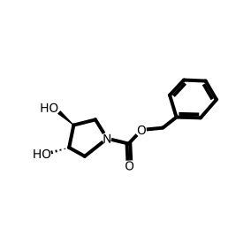 O=C(OCc1ccccc1)N1C[C@H](O)[C@@H](O)C1